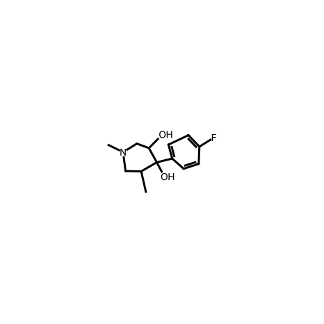 CC1CN(C)CC(O)C1(O)c1ccc(F)cc1